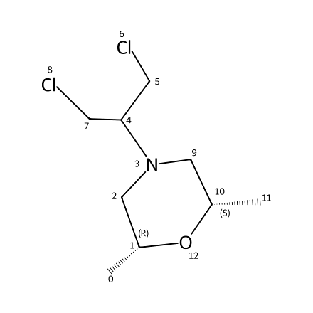 C[C@@H]1CN(C(CCl)CCl)C[C@H](C)O1